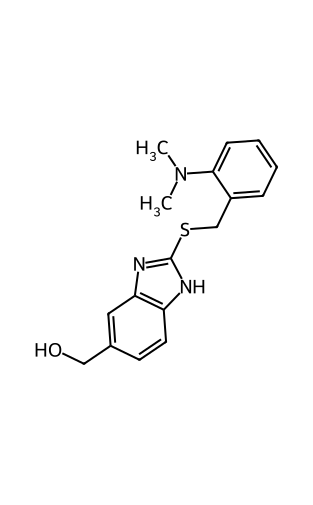 CN(C)c1ccccc1CSc1nc2cc(CO)ccc2[nH]1